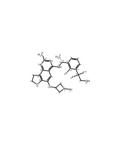 CC(=O)N1CC(Oc2cc3c(N[C@H](C)c4cccc(C(F)(F)CO)c4F)nc(C)nc3c3c2OCC3)C1